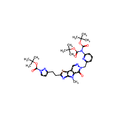 Cn1c2nc(CCc3ccn(C(=O)OC(C)(C)C)n3)sc2c2cnn(Cc3cccc(N(C(=O)OC(C)(C)C)C(=O)OC(C)(C)C)n3)c(=O)c21